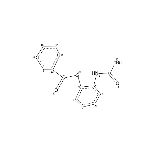 CC(C)(C)C(=O)Nc1ccccc1SC(=O)c1ccccc1